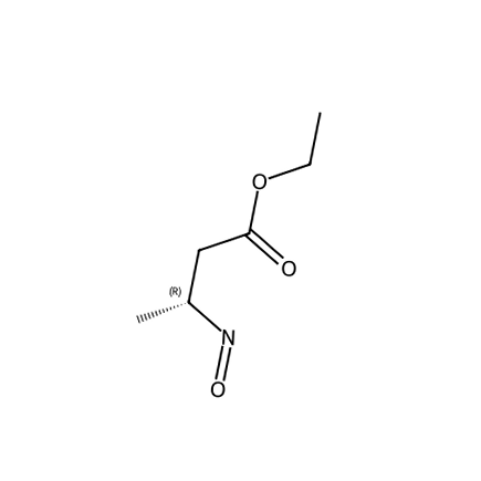 CCOC(=O)C[C@@H](C)N=O